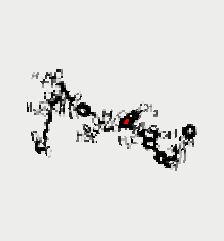 Cc1c(-c2ccc(-c3ccc4cncc(C(=O)Nc5nc6ccccc6s5)c4c3)nc2C(=O)O)cnn1CC12CC3(C)CC(C)(C1)CC(OCCN(CCS(=O)(=O)O)C(=O)OCc1ccc(NC(=O)C(CCCNC(N)=O)NC(=O)[C@@H](NC(=O)CCCCCN4C(=O)C=CC4=O)C(C)C)cc1)(C3)C2